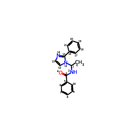 CC(NC(=O)c1ccccc1)n1ccnc1-c1ccccc1